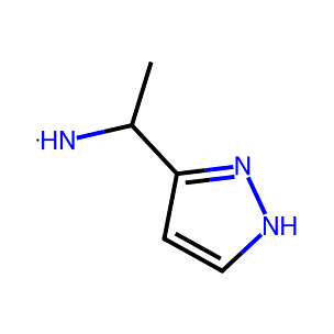 CC([NH])c1cc[nH]n1